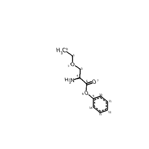 CCOC[C](N)C(=O)Oc1ccccc1